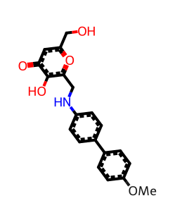 COc1ccc(-c2ccc(NCc3oc(CO)cc(=O)c3O)cc2)cc1